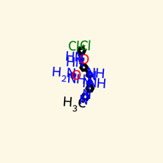 CN1CCN(c2ccc3[nH]c(-c4cc(-c5ccc(NC(=O)Nc6ccc(Cl)c(Cl)c6)cc5)[nH]n4)nc3c2)CC1.NC(N)=O